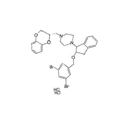 Brc1cc(Br)cc(COC2Cc3ccccc3C2N2CCN(C[C@H]3COc4ccccc4O3)CC2)c1.Cl.Cl